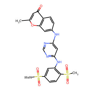 CNS(=O)(=O)c1ccc(S(C)(=O)=O)c(Nc2cc(Nc3ccc4c(=O)cc(C)oc4c3)ncn2)c1